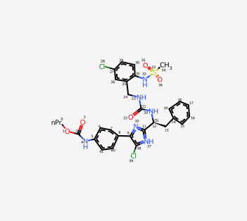 CCCOC(=O)Nc1ccc(-c2nc([C@H](Cc3ccccc3)NC(=O)NCc3cc(Cl)ccc3NS(C)(=O)=O)[nH]c2Cl)cc1